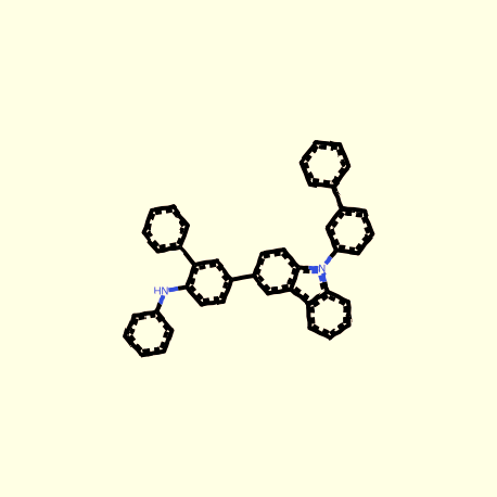 c1ccc(Nc2ccc(-c3ccc4c(c3)c3ccccc3n4-c3cccc(-c4ccccc4)c3)cc2-c2ccccc2)cc1